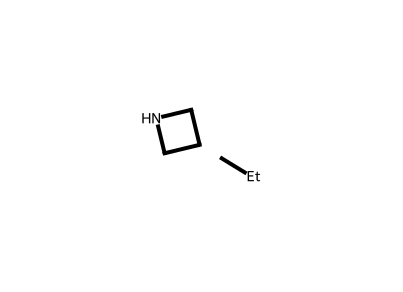 C1CNC1.CCC